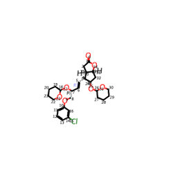 O=C1C[C@@H]2[C@@H](/C=C/[C@H](COc3cccc(Cl)c3)OC3CCCCO3)[C@H](OC3CCCCO3)C[C@@H]2O1